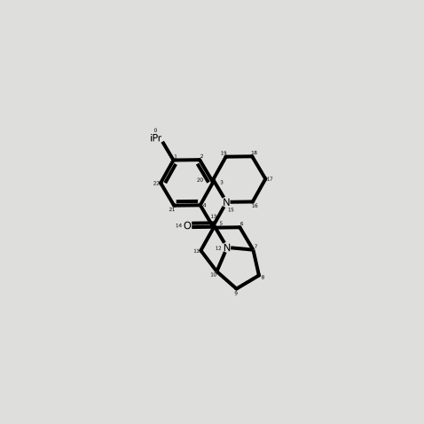 CC(C)c1ccc(C2CC3CCC(C2)N3C(=O)N2CCCCC2)cc1